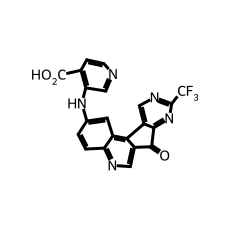 O=C(O)c1ccncc1Nc1ccc2ncc3c(c2c1)-c1cnc(C(F)(F)F)nc1C3=O